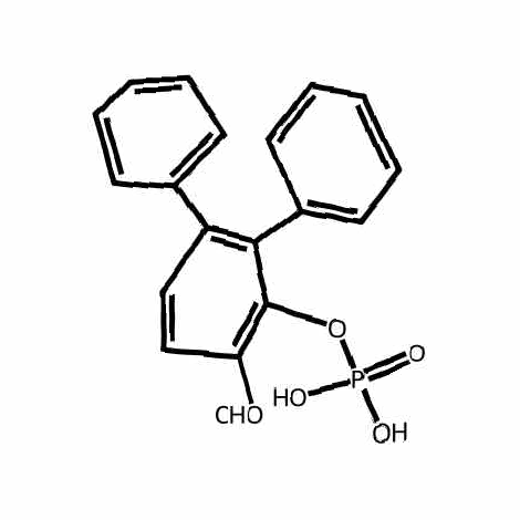 O=Cc1ccc(-c2ccccc2)c(-c2ccccc2)c1OP(=O)(O)O